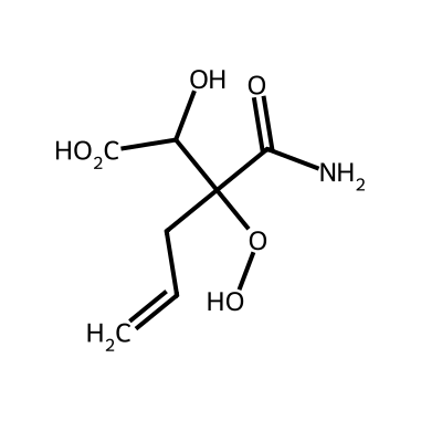 C=CCC(OO)(C(N)=O)C(O)C(=O)O